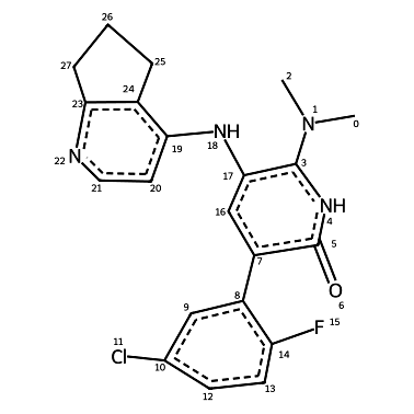 CN(C)c1[nH]c(=O)c(-c2cc(Cl)ccc2F)cc1Nc1ccnc2c1CCC2